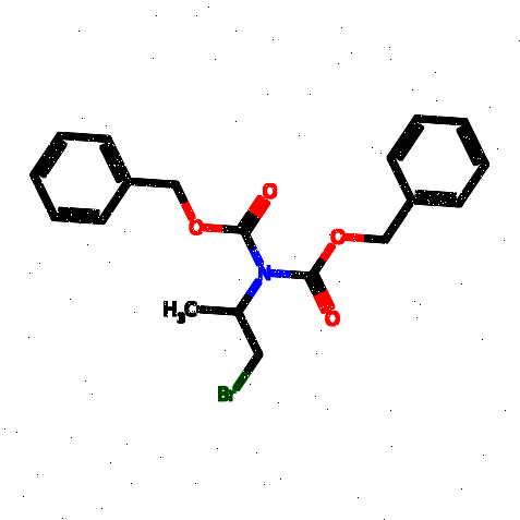 CC(CBr)N(C(=O)OCc1ccccc1)C(=O)OCc1ccccc1